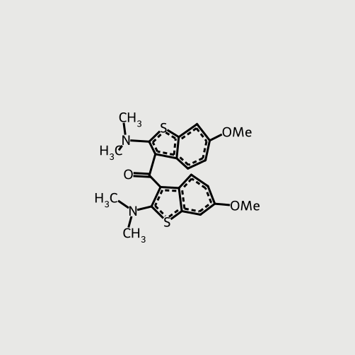 COc1ccc2c(C(=O)c3c(N(C)C)sc4cc(OC)ccc34)c(N(C)C)sc2c1